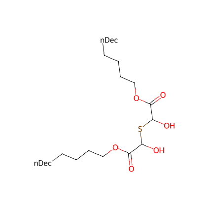 CCCCCCCCCCCCCCOC(=O)C(O)SC(O)C(=O)OCCCCCCCCCCCCCC